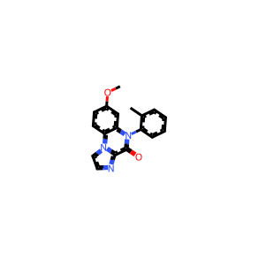 COc1ccc2c(c1)n(-c1ccccc1C)c(=O)c1nccn12